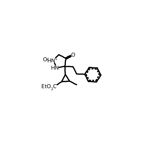 CCOC(=O)C1C(C)C1C1(CCc2ccccc2)N[NH+]([O-])CC1=O